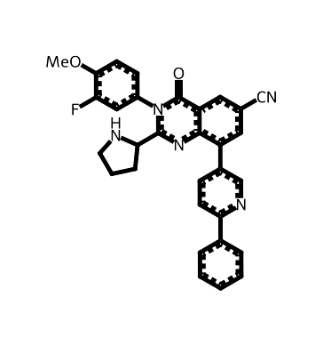 COc1ccc(-n2c(C3CCCN3)nc3c(-c4ccc(-c5ccccc5)nc4)cc(C#N)cc3c2=O)cc1F